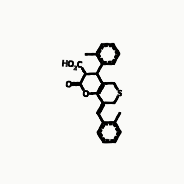 Cc1ccccc1C=C1CSCC2=C1OC(=O)C(C(=O)O)C2c1ccccc1C